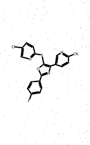 N#Cc1ccc(-c2nc(-c3ccc(F)cc3)oc2Sc2ccc(Cl)cn2)cn1